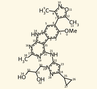 COc1cc2c(cc1-c1c(C)noc1C)[nH]c1nc(C)nc(Nc3cc(C4CC4)nn3CC(O)CO)c12